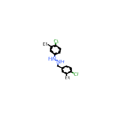 CCc1cc(CNNc2ccc(Cl)c(CC)c2)ccc1Cl